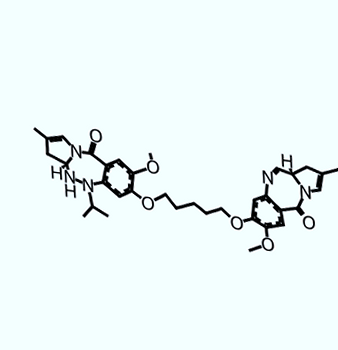 COc1cc2c(cc1OCCCCCOc1cc3c(cc1OC)C(=O)N1C=C(C)C[C@H]1NN3C(C)C)N=C[C@@H]1CC(C)=CN1C2=O